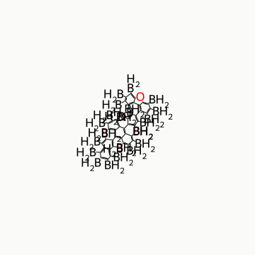 Bc1c(B)c(-c2c(B)c(B)c(B)c3oc4c(B)c(B)c(B)c(B)c4c23)c(B)c(B)c1-c1c2c(B)c(B)c(B)c(B)c2c(-c2c(B)c(B)c3c(B)c(B)c(B)c(B)c3c2B)c2c(B)c(B)c(B)c(B)c12